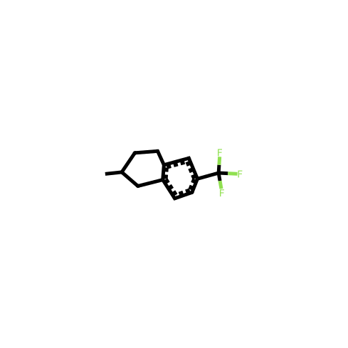 CC1CCc2cc(C(F)(F)F)ccc2C1